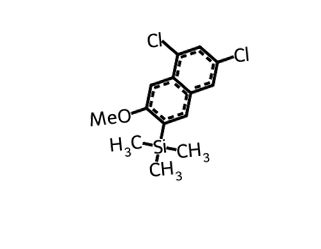 COc1cc2c(Cl)cc(Cl)cc2cc1[Si](C)(C)C